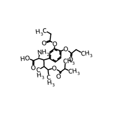 CCC(=O)Oc1ccc(C(C(C)C(C)OC(=O)C(C)C)[C@H](N)C(=O)O)cc1OC(=O)CC